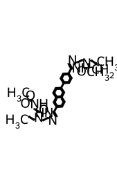 C=C(C)CN(Cc1ncc(-c2ccc(-c3ccc4cc(-c5cnc(CN(CCC)C(=O)CNC(=O)OC)[nH]5)ccc4c3)cc2)[nH]1)C(C)=O